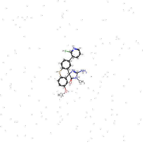 COc1ccc2c(c1)C1(N=C(N)N(C)C1=O)c1cc(-c3cccnc3F)ccc1S2